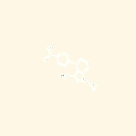 Cc1cn(C2CC2)c2c[c]cc(-c3ccc(C(=O)O)cc3)c12